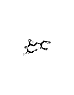 CC[C@H](CO)NC(C)CC[C@@H](CO)NC(C)C